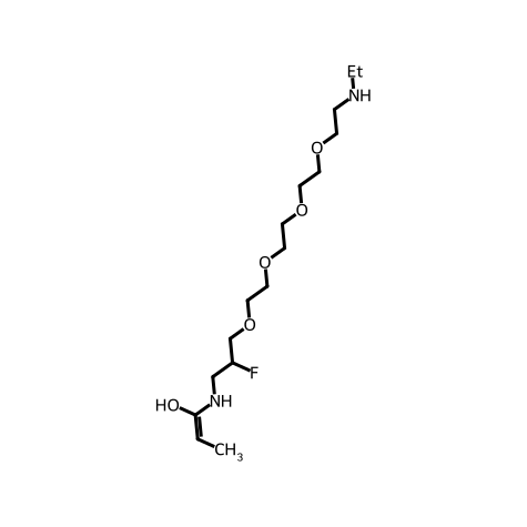 C/C=C(/O)NCC(F)COCCOCCOCCOCCNCC